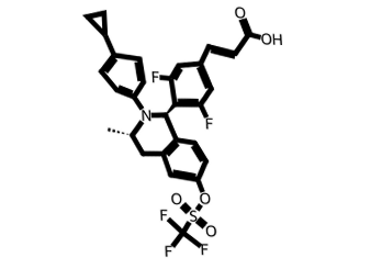 C[C@H]1Cc2cc(OS(=O)(=O)C(F)(F)F)ccc2[C@H](c2c(F)cc(C=CC(=O)O)cc2F)N1c1ccc(C2CC2)cc1